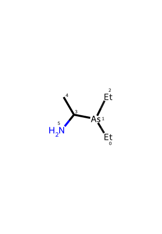 CC[As](CC)C(C)N